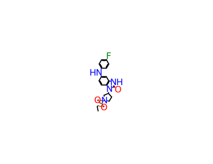 CCS(=O)(=O)N1CCC(n2c(=O)[nH]c3cc(Nc4ccc(F)cc4)ccc32)C1